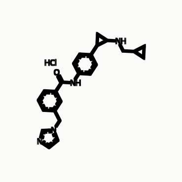 Cl.O=C(Nc1ccc(C2CC2NCC2CC2)cc1)c1cccc(Cn2ccnc2)c1